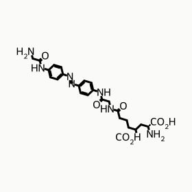 NCC(=O)Nc1ccc(/N=N/c2ccc(NC(=O)CNC(=O)CCCC(C[C@H](N)C(=O)O)C(=O)O)cc2)cc1